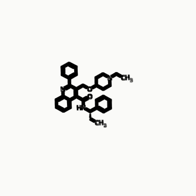 CC[C@H](NC(=O)c1c(COC2CCN(CC)CC2)c(-c2ccccc2)nc2ccccc12)c1ccccc1